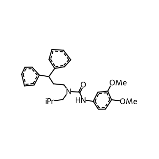 COc1ccc(NC(=O)N(CCC(c2ccccc2)c2ccccc2)CC(C)C)cc1OC